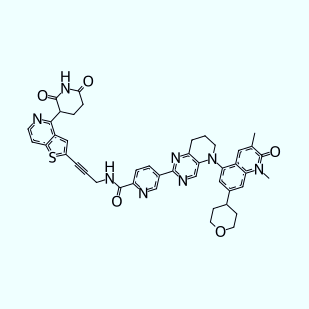 Cc1cc2c(N3CCCc4nc(-c5ccc(C(=O)NCC#Cc6cc7c(C8CCC(=O)NC8=O)nccc7s6)nc5)ncc43)cc(C3CCOCC3)cc2n(C)c1=O